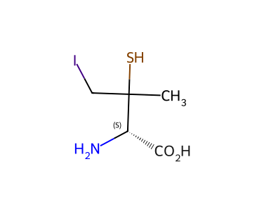 CC(S)(CI)[C@@H](N)C(=O)O